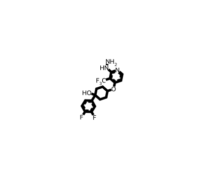 NNc1nccc(OC2CCC(O)(c3ccc(F)c(F)c3)CC2)c1C(F)(F)F